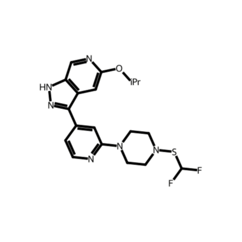 CC(C)Oc1cc2c(-c3ccnc(N4CCN(SC(F)F)CC4)c3)n[nH]c2cn1